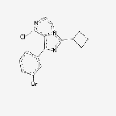 Clc1nccn2c(C3CCC3)nc(-c3cccc(Br)c3)c12